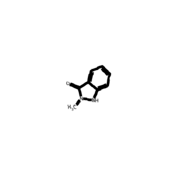 CN1Bc2ccccc2C1=O